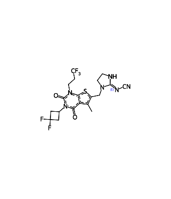 Cc1c(CN2CCN/C2=N\C#N)sc2c1c(=O)n(C1CC(F)(F)C1)c(=O)n2CCC(F)(F)F